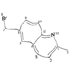 Cc1ccc2cc(CBr)ccc2n1